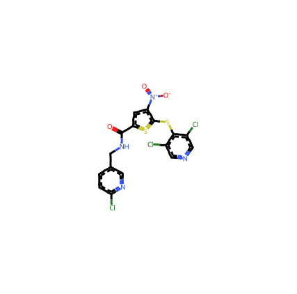 O=C(NCc1ccc(Cl)nc1)c1cc([N+](=O)[O-])c(Sc2c(Cl)cncc2Cl)s1